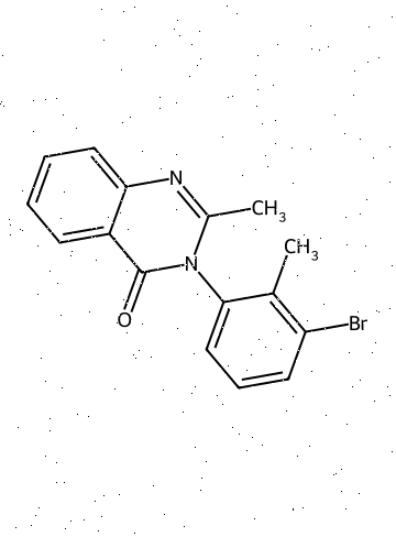 Cc1c(Br)cccc1-n1c(C)nc2ccccc2c1=O